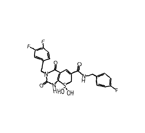 O=C(NCc1ccc(F)cc1)C1=Cc2c([nH]c(=O)n(Cc3ccc(F)c(F)c3)c2=O)S(O)(O)C1